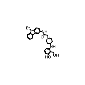 CCn1c2ccccc2c2cc(NC(=O)CN3CCC(Nc4cccc(O)c4CO)CC3)ccc21